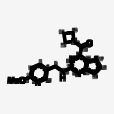 COc1ccc(CNc2nc(C(=O)N3CCC3)c3sccc3n2)cn1